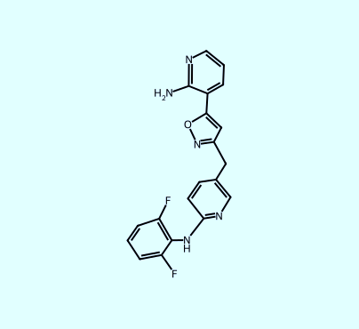 Nc1ncccc1-c1cc(Cc2ccc(Nc3c(F)cccc3F)nc2)no1